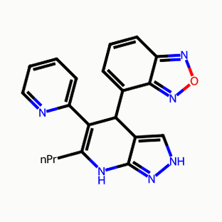 CCCC1=C(c2ccccn2)C(c2cccc3nonc23)c2c[nH]nc2N1